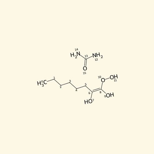 CCCCCCC(O)=C(O)OO.NC(N)=O